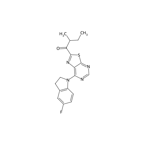 CCC(C)C(=O)c1nc2c(N3CCc4cc(F)ccc43)ncnc2s1